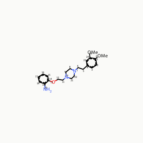 COc1ccc(CCN2CCN(CCOc3ccccc3N)CC2)cc1OC